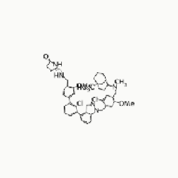 COc1cc(-c2cccc(-c3cccc4c3cnn4Cc3cc(OC)c(CN(C)C4CCC5(C(=O)O)CCCC4C5)cc3Cl)c2Cl)ccc1CNC[C@@H]1CCC(=O)N1